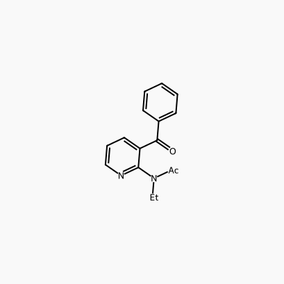 CCN(C(C)=O)c1ncccc1C(=O)c1ccccc1